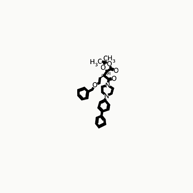 CC1(C)OC(=O)[C@@H]([C@H](CCOCc2ccccc2)C(=O)N2CCN(c3ccc(-c4ccccc4)cc3)CC2)O1